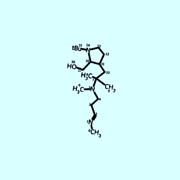 C/N=C/CCN(C)C(C)(C)CC1CCN(C(C)(C)C)C1CO